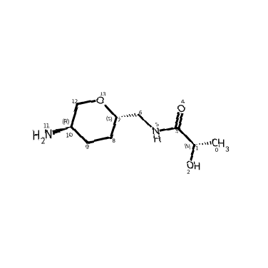 C[C@H](O)C(=O)NC[C@@H]1CC[C@@H](N)CO1